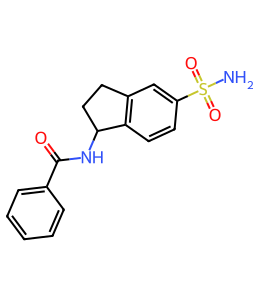 NS(=O)(=O)c1ccc2c(c1)CCC2NC(=O)c1ccccc1